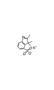 CC1=Nc2cccc(S(=O)(=O)[O-])c2C1(C)C.[K+]